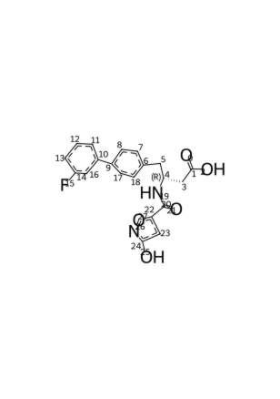 O=C(O)C[C@@H](Cc1ccc(-c2cccc(F)c2)cc1)NC(=O)c1cc(O)no1